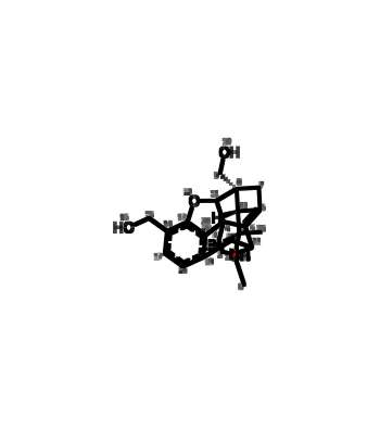 CN1CCC23C4=C5C[C@](CO)(C2Oc2c(CO)ccc(c23)CC41)[C@H]5[C@](C)(O)C(C)(C)C